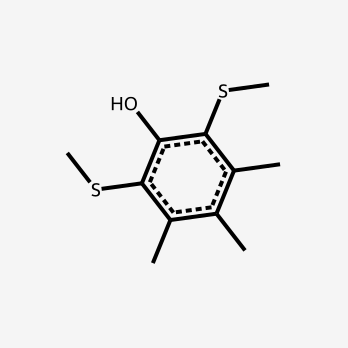 CSc1c(C)c(C)c(C)c(SC)c1O